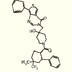 CC1(C)CCC(C(=O)N2CCC(O)(Cn3cnc4c(-c5ccccc5)scc4c3=O)CC2)C(c2ccccc2)C1